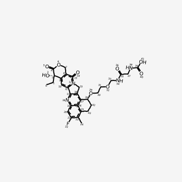 CC[C@@]1(O)C(=O)OCc2c1cc1n(c2=O)Cc2c-1nc1cc(F)c(C)c3c1c2[C@@H](OCCOCNC(=O)CNC(=O)O)CC3